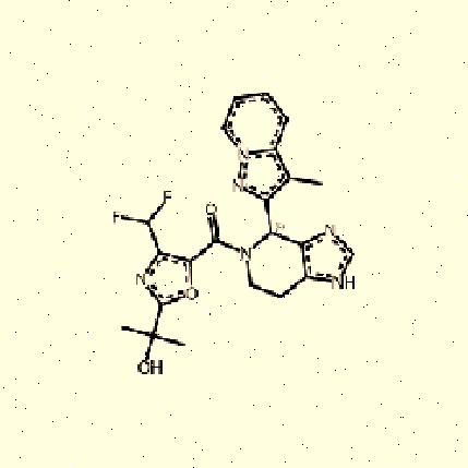 Cc1c([C@H]2c3nc[nH]c3CCN2C(=O)c2oc(C(C)(C)O)nc2C(F)F)nn2ccccc12